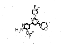 Nc1ncc(-c2cc(N3CCCOCC3)nc(N3CCC(F)(F)C3)n2)cc1OC(F)F